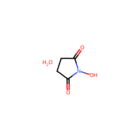 O.O=C1CCC(=O)N1O